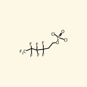 O=P(Cl)(Cl)OCCC(F)(F)C(F)(F)C(F)(F)C(F)(F)F